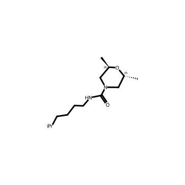 CC(C)CCCCNC(=O)N1C[C@@H](C)O[C@H](C)C1